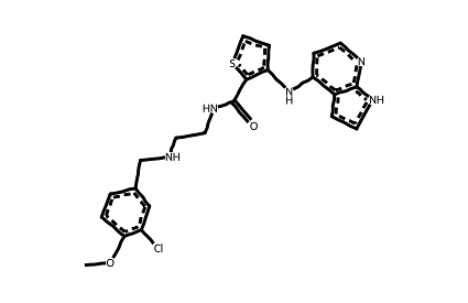 COc1ccc(CNCCNC(=O)c2sccc2Nc2ccnc3[nH]ccc23)cc1Cl